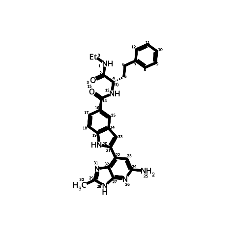 CCNC(=O)[C@H](CCc1ccccc1)NC(=O)c1ccc2[nH]c(-c3cc(N)nc4[nH]c(C)nc34)cc2c1